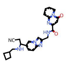 N#CCC(NCC1CCC1)c1ccc2nc(CNC(=O)c3cc(=O)n4ccccc4n3)cn2c1